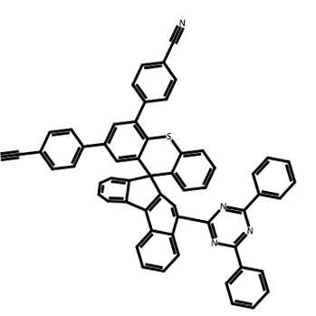 N#Cc1ccc(-c2cc(-c3ccc(C#N)cc3)c3c(c2)C2(c4ccccc4S3)c3ccccc3-c3c2cc(-c2nc(-c4ccccc4)nc(-c4ccccc4)n2)c2ccccc32)cc1